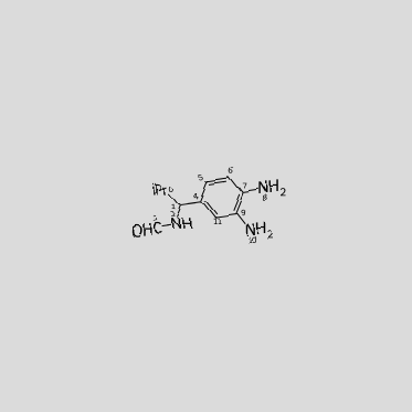 CC(C)C(NC=O)c1ccc(N)c(N)c1